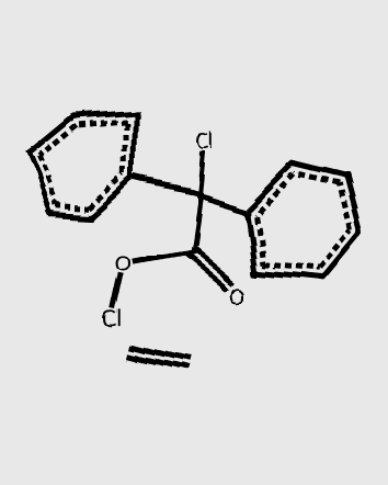 C=C.O=C(OCl)C(Cl)(c1ccccc1)c1ccccc1